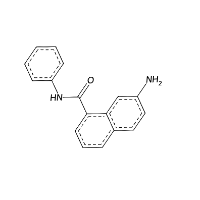 Nc1ccc2cccc(C(=O)Nc3ccccc3)c2c1